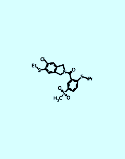 CCSc1cc2c(cc1Cl)CN(C(=O)c1cc(S(C)(=O)=O)ccc1SC(C)C)C2